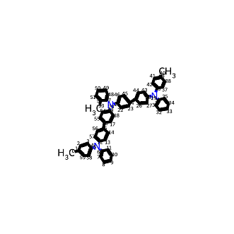 Cc1ccc(N(c2ccccc2)c2ccc(-c3ccc(N(c4ccc(-c5ccc(N(c6ccccc6)c6ccc(C)cc6)cc5)cc4)c4ccccc4C)cc3)cc2)cc1